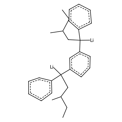 [Li][C](CC(C)CC)(c1ccccc1)c1cccc([C]([Li])(CC(C)CC)c2ccccc2)c1